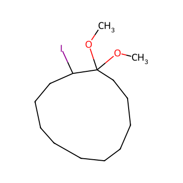 COC1(OC)CCCCCCCCCCC1I